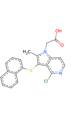 Cc1c(Sc2cccc3ccccc23)c2c(Cl)nccc2n1CC(=O)O